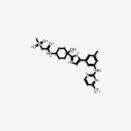 Cc1cc(Nc2nccc(C(F)(F)F)n2)cc(-c2cnc(C3(O)CCC(NC(=O)CS(C)(=O)=O)CC3)s2)c1